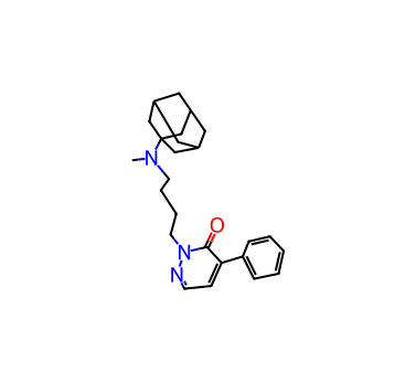 CN(CCCCn1nccc(-c2ccccc2)c1=O)C12CC3CC(CC(C3)C1)C2